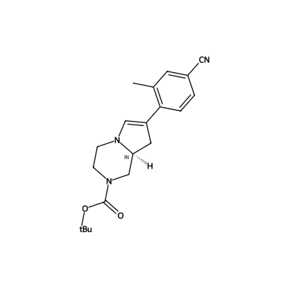 Cc1cc(C#N)ccc1C1=CN2CCN(C(=O)OC(C)(C)C)C[C@@H]2C1